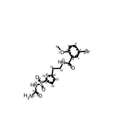 COc1ccc(Br)cc1C(=O)NCCc1ccc(S(=O)(=O)NC(N)=O)s1